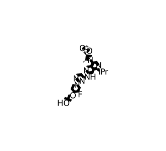 CC(C)c1ncc(N2C[C@H](CS(C)(=O)=O)[C@H]2C)c2cnc(Nc3ccnc(N4CC[C@@H](OCC(C)(C)O)[C@@H](F)C4)n3)cc12